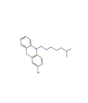 CC(C)CCCCCN1c2ccccc2Sc2cc(Br)ccc21